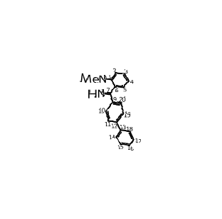 CNc1ccccc1C(=N)c1ccc(-c2ccccc2)cc1